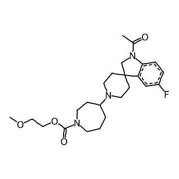 COCCOC(=O)N1CCCC(N2CCC3(CC2)CN(C(C)=O)c2ccc(F)cc23)CC1